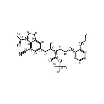 CCOc1ccccc1OCCN(C(=O)OC(C)(C)C)C(C)Cc1cc(C#N)c2c(c1)CCN2C(C)=O